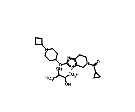 O=C(C1CC1)N1CCc2nc(OC3CCN(C4CCC4)CC3)sc2C1.O=C(O)C(O)C(O)C(=O)O